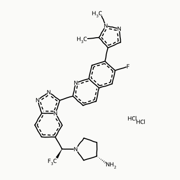 Cc1c(-c2cc3nc(-c4nnc5ccc([C@@H](N6CC[C@H](N)C6)C(F)(F)F)cn45)ccc3cc2F)cnn1C.Cl.Cl